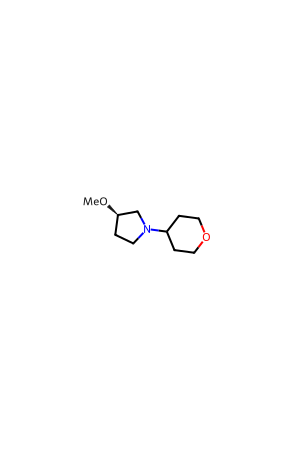 CO[C@@H]1CCN(C2CCOCC2)C1